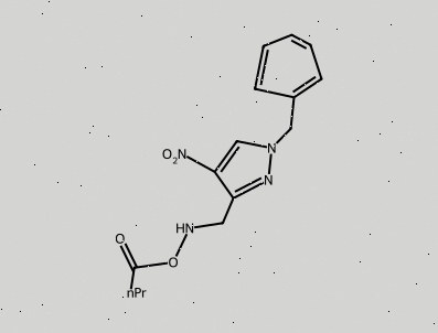 CCCC(=O)ONCc1nn(Cc2ccccc2)cc1[N+](=O)[O-]